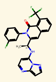 C[C@H](Nc1ccnc2ccnn12)c1cc2cccc(C(F)(F)F)c2c(=O)n1-c1cccc(F)c1